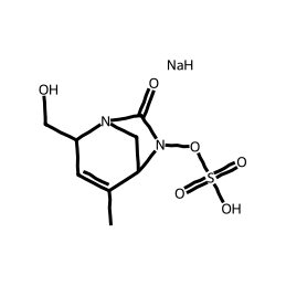 CC1=CC(CO)N2CC1N(OS(=O)(=O)O)C2=O.[NaH]